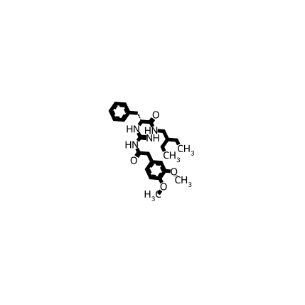 CCC(CC)CNC(=O)[C@@H](Cc1ccccc1)NC(=N)NC(=O)Cc1ccc(OC)c(OC)c1